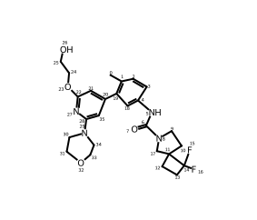 Cc1ccc(NC(=O)N2CCC3(CCC3(F)F)C2)cc1-c1cc(OCCO)nc(N2CCOCC2)c1